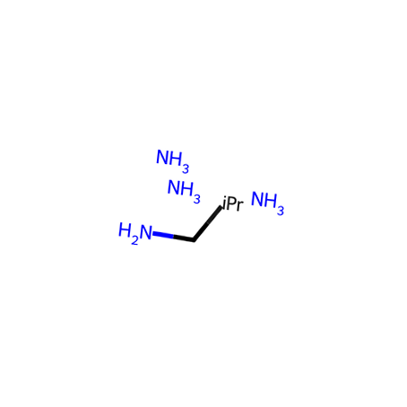 CC(C)CN.N.N.N